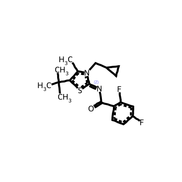 Cc1c(C(C)(C)C)s/c(=N\C(=O)c2ccc(F)cc2F)n1CC1CC1